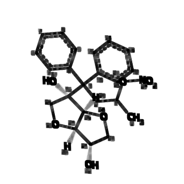 CC(CC(c1ccccc1)(c1ccccc1)[C@]1(O)CO[C@@H]2[C@@H](O)CO[C@@H]21)O[N+](=O)[O-]